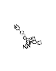 Clc1ccc(C2(Cn3ccnc3)OCC(OCc3ccc(-c4ccncc4)cc3)CO2)c(Cl)c1